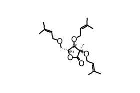 CC(C)=CCOC[C@H]1OC(=O)[C@](C)(OCC=C(C)C)[C@@H]1OCC=C(C)C